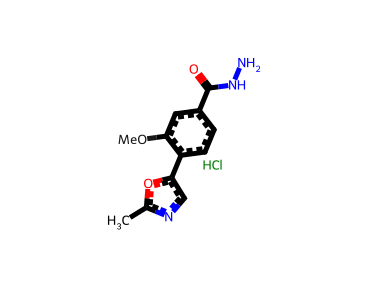 COc1cc(C(=O)NN)ccc1-c1cnc(C)o1.Cl